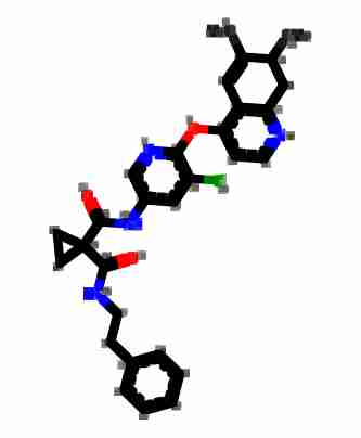 COC1=Cc2c(Oc3ncc(NC(=O)C4(C(=O)NCCc5ccccc5)CC4)cc3Cl)ccnc2CC1OC